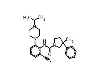 CC(C)N1CCN(c2cccc(C#N)c2NC(=O)N2CC[C@](C)(c3ccccc3)C2)CC1